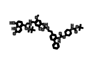 COc1cc(NC(=O)OCCc2ccc(-c3ccccc3)c(NC(=O)OC3CCC(NC(=O)OC(C)(C)C)CC3)c2)c(Cl)cc1CNC[C@@H](O[Si](C)(C)C(C)(C)C)c1ccc(O)c2[nH]c(=O)ccc12